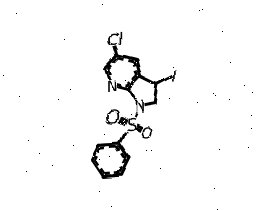 O=S(=O)(c1ccccc1)N1CC(I)c2cc(Cl)cnc21